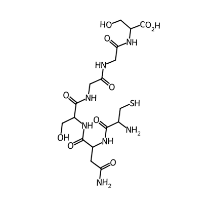 NC(=O)CC(NC(=O)C(N)CS)C(=O)NC(CO)C(=O)NCC(=O)NCC(=O)NC(CO)C(=O)O